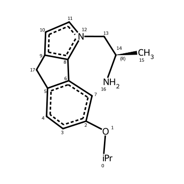 CC(C)Oc1ccc2c(c1)-c1c(ccn1C[C@@H](C)N)C2